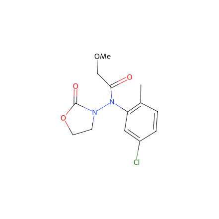 COCC(=O)N(c1cc(Cl)ccc1C)N1CCOC1=O